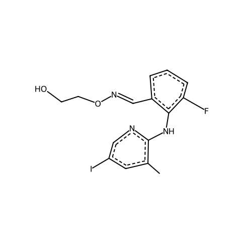 Cc1cc(I)cnc1Nc1c(F)cccc1C=NOCCO